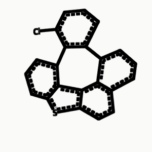 Clc1cccc2c1-c1cccc3sc4ccc5cccc-2c5c4c13